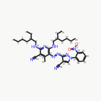 CCCCC(CC)CNc1nc(NCC(CC)CCCC)c(N=Nc2nn(-c3ccccc3[N+](=O)[O-])cc2C#N)c(C)c1C#N